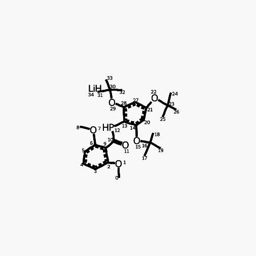 COc1cccc(OC)c1C(=O)Pc1c(OC(C)(C)C)cc(OC(C)(C)C)cc1OC(C)(C)C.[LiH]